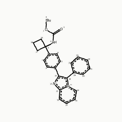 CC(C)(C)OC(=O)NC1(c2ccc(-c3nc4ccccn4c3-c3ccccc3)cc2)CCC1